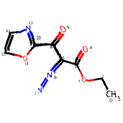 CCOC(=O)C(=[N+]=[N-])C(=O)c1ncco1